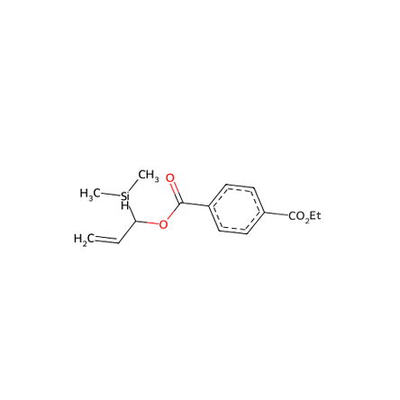 C=CC(OC(=O)c1ccc(C(=O)OCC)cc1)[SiH](C)C